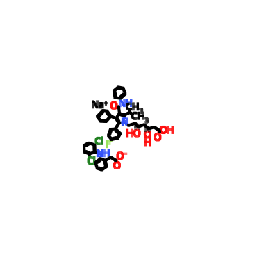 CC(C)c1c(C(=O)Nc2ccccc2)c(-c2ccccc2)c(-c2ccc(F)cc2)n1CC[C@@H](O)C[C@@H](O)CC(=O)O.O=C([O-])Cc1ccccc1Nc1c(Cl)cccc1Cl.[Na+]